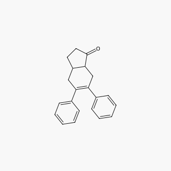 O=C1CCC2CC(c3ccccc3)=C(c3ccccc3)CC12